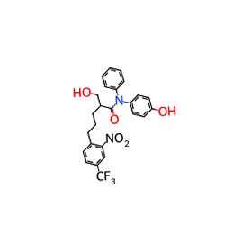 O=C(C(CO)CCCc1ccc(C(F)(F)F)cc1[N+](=O)[O-])N(c1ccccc1)c1ccc(O)cc1